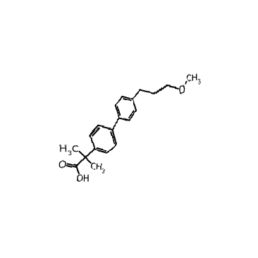 COCCCc1ccc(-c2ccc(C(C)(C)C(=O)O)cc2)cc1